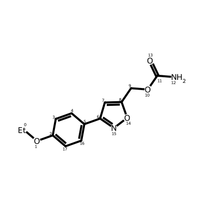 CCOc1ccc(-c2cc(COC(N)=O)on2)cc1